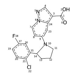 O=C(O)c1cnn2ccc(N3CCCC3c3cc(F)ccc3Cl)cc12